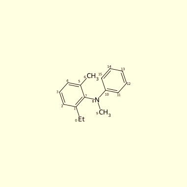 CCc1cccc(C)c1N(C)c1ccccc1